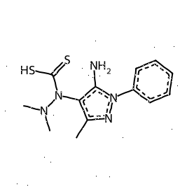 Cc1nn(-c2ccccc2)c(N)c1N(C(=S)S)N(C)C